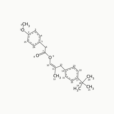 COc1ccc(CC(=O)OC=C(C)Cc2ccc(C(C)(C)C)cc2)cc1